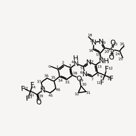 Cc1cc(Nc2ncc(C(F)(F)F)c(Nc3cn(C)nc3S(=O)(=O)C(C)C)n2)c(OC2CC2)cc1C1CCN(C(=O)C(F)(F)F)CC1